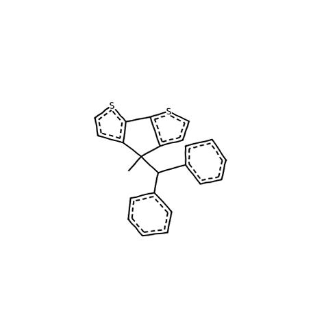 CC1(C(c2ccccc2)c2ccccc2)c2ccsc2-c2sccc21